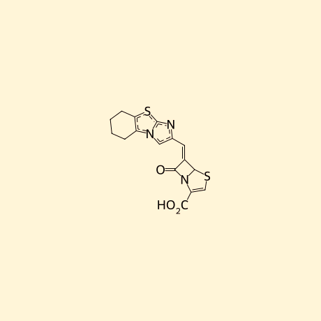 O=C(O)C1=CSC2C(=Cc3cn4c5c(sc4n3)CCCC5)C(=O)N12